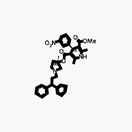 COC(=O)C1=C(C)NC(C)=C(C(=O)O[C@]2(C)CCN(CCC(c3ccccc3)c3ccccc3)C2)[C@H]1c1cccc([N+](=O)[O-])c1